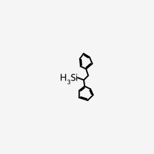 [SiH3]C(Cc1ccccc1)c1ccccc1